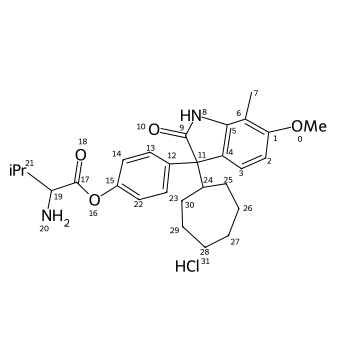 COc1ccc2c(c1C)NC(=O)C2(c1ccc(OC(=O)C(N)C(C)C)cc1)C1CCCCCC1.Cl